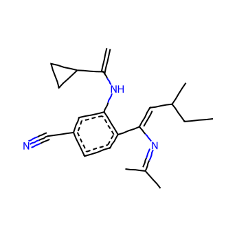 C=C(Nc1cc(C#N)ccc1/C(=C/C(C)CC)N=C(C)C)C1CC1